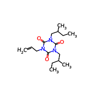 C=CCn1c(=O)n(CC(C)CC)c(=O)n(CC(C)CC)c1=O